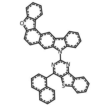 c1ccc2c(-c3nc(-n4c5ccccc5c5cc6c(ccc7oc8ccccc8c76)cc54)nc4c3sc3ccccc34)cccc2c1